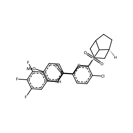 COc1ccc(COC[C@@H]2CC3CC[C@@H](C2)C3S(=O)(=O)c2cc(C(=O)Nc3cc(F)c(F)c(F)c3)ccc2Cl)cc1